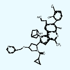 Cc1nc2c(F)c(-c3cccc(Cl)c3Cl)c(CCC#N)cc2c2c1cc(C1CC(OCc3cccnc3)CN1C(=O)C1CC1)n2C1C2CNC1C2